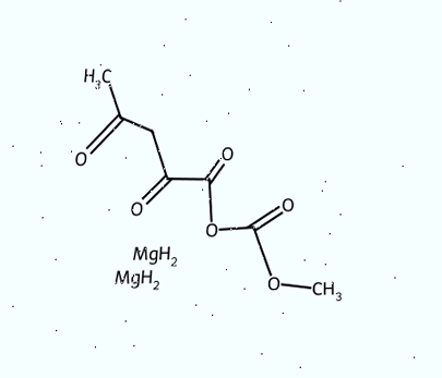 COC(=O)OC(=O)C(=O)CC(C)=O.[MgH2].[MgH2]